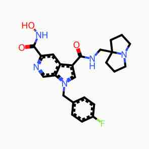 O=C(NO)c1cc2c(C(=O)NCC34CCCN3CCC4)cn(Cc3ccc(F)cc3)c2cn1